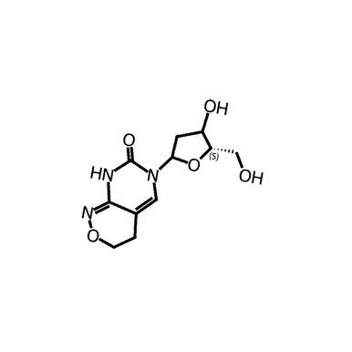 O=C1NC2=NOCCC2=CN1C1CC(O)[C@H](CO)O1